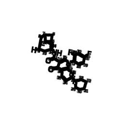 O=C(N[C@@]12CC3CC4C[C@H](C1)C[C@]43C2)c1cn(-c2ccc(F)cc2F)c2nc(N3CCCCC3)ccc2c1=O